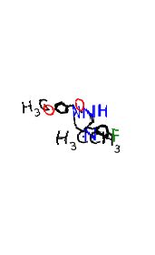 COc1ccc(CN2CCCCC(c3ccc(F)cc3)(N(C)C)CCNC2=O)cc1